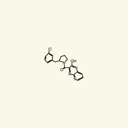 O=C(c1nc2ncccc2nc1O)N1CCCC1Cc1cccc(Cl)c1